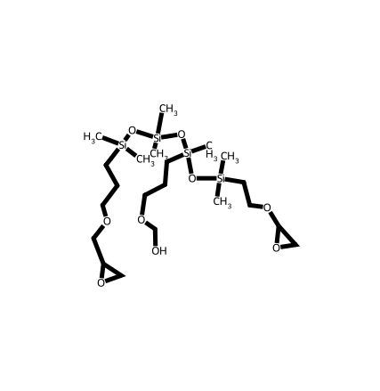 C[Si](C)(CCCOCC1CO1)O[Si](C)(C)O[Si](C)(CCCOCO)O[Si](C)(C)CCOC1CO1